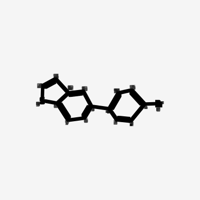 Brc1ccc(-c2ccc3sccc3c2)cc1